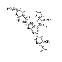 COCC1(CN(C)c2cc(-c3cnc(C4CC4)c(C(F)(F)F)c3)nc3nc(NC(=O)c4ccc(C(=O)O)cc4F)[nH]c23)CCCC1